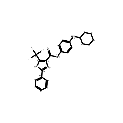 O=C(Nc1ccc(NC2CC[CH]CC2)cc1)c1nc(-c2ccccc2)oc1C(F)(F)F